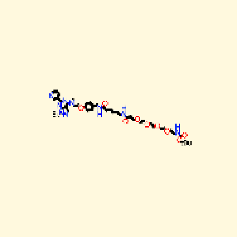 CCn1ncc2c(N(C)CCOc3ccc(CNC(=O)CCCCCNC(=O)CCOCCOCCOCCOCCNC(=O)OC(C)(C)C)cc3)nc(-c3cccnc3)nc21